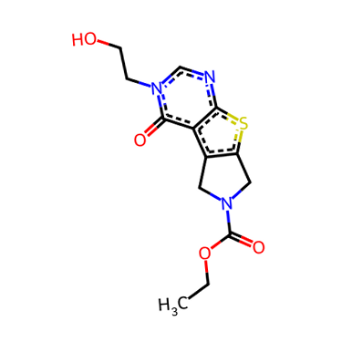 CCOC(=O)N1Cc2sc3ncn(CCO)c(=O)c3c2C1